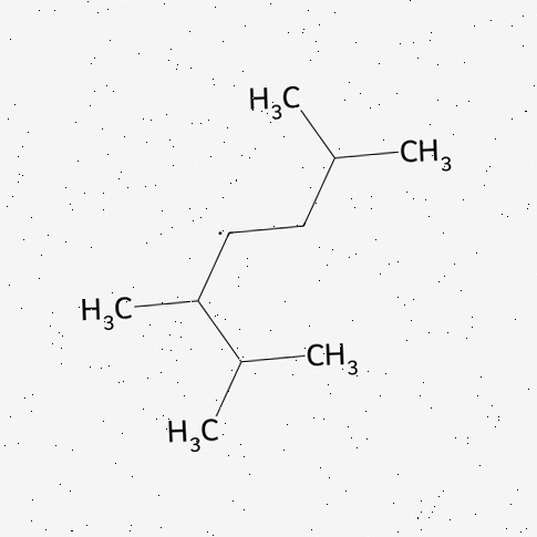 CC(C)C[CH]C(C)C(C)C